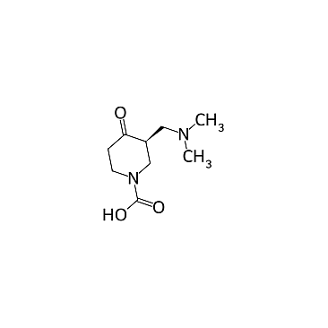 CN(C)C[C@H]1CN(C(=O)O)CCC1=O